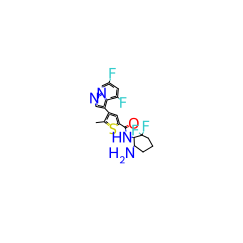 Cc1sc(C(=O)N[C@@H]2[C@@H](N)CCCC2(F)F)cc1-c1cnn2cc(F)cc(F)c12